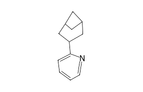 c1ccc(C2CC3CC(C3)C2)nc1